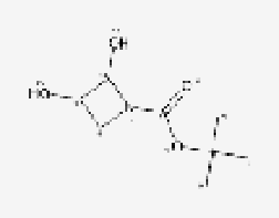 CC(C)(C)OC(=O)N1CC(O)C1O